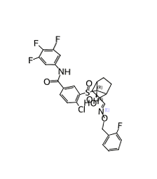 O=C(Nc1cc(F)c(F)c(F)c1)c1ccc(Cl)c(S(=O)(=O)[C@@H]2C3CCC2[C@@](O)(/C=N/OCc2ccccc2F)C3)c1